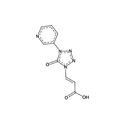 O=C(O)/C=C/n1nnn(-c2cccnc2)c1=O